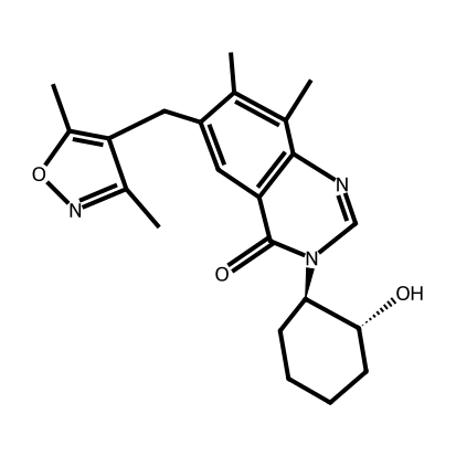 Cc1noc(C)c1Cc1cc2c(=O)n([C@@H]3CCCC[C@H]3O)cnc2c(C)c1C